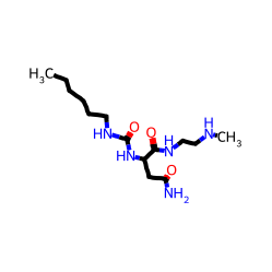 CCCCCCNC(=O)NC(CC(N)=O)C(=O)NCCNC